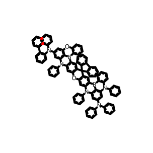 c1ccc(-c2ccccc2N(c2ccccc2)c2cc3c4c(c2)N(c2ccccc2)c2cc5c(cc2B4c2ccccc2O3)C2(c3cc4c(cc3O5)N(c3ccccc3)c3cc(N(c5ccccc5)c5ccccc5)cc5c3B4c3ccccc3N5c3ccccc3)c3ccccc3-c3ccccc32)cc1